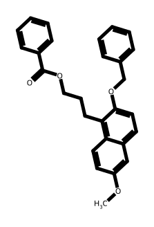 COc1ccc2c(CCCOC(=O)c3ccccc3)c(OCc3ccccc3)ccc2c1